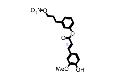 COc1cc(/C=C/C(=O)Oc2cccc(CCCO[N+](=O)[O-])c2)ccc1O